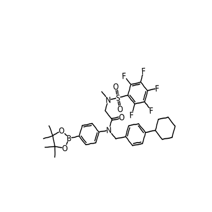 CN(CC(=O)N(Cc1ccc(C2CCCCC2)cc1)c1ccc(B2OC(C)(C)C(C)(C)O2)cc1)S(=O)(=O)c1c(F)c(F)c(F)c(F)c1F